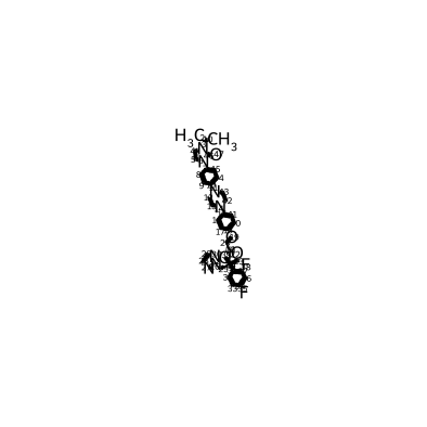 CC(C)N1CCN(c2ccc(N3CCN(c4ccc(OC[C@H]5OC[C@](Cn6nccn6)(c6ccc(F)cc6F)O5)cc4)CC3)cc2)C1=O